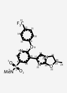 CNS(=O)(=O)c1cnc(Oc2ccc(C(F)(F)F)cc2)c(-c2cn3c(n2)O[C@H](C)C3)c1